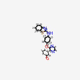 O=C1CCC[C@@H](c2nccnc2Oc2ccc(Nc3nc4ccccc4s3)cc2)C1